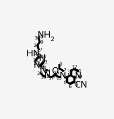 CC1CN(c2ccc(C#N)c3ncccc23)CC(CN2CCN(c3cnc(NCCCCN)cn3)C2)O1